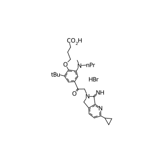 Br.CCCN(C)c1cc(C(=O)CN2Cc3ccc(C4CC4)nc3C2=N)cc(C(C)(C)C)c1OCCCC(=O)O